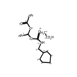 CC(=O)O.CCCC(=O)OC(CCC)OC(=O)NCC1CCCCC1